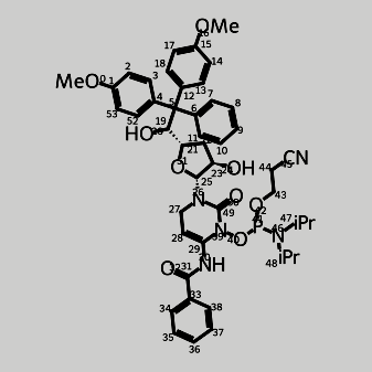 COc1ccc(C(c2ccccc2)(c2ccc(OC)cc2)C(O)[C@@H]2C[C@@H](O)[C@H](N3CC=C(NC(=O)c4ccccc4)N(OP(OCCC#N)N(C(C)C)C(C)C)C3=O)O2)cc1